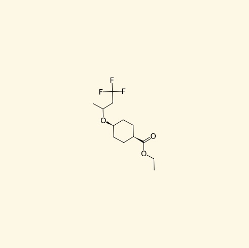 CCOC(=O)[C@H]1CC[C@@H](OC(C)CC(F)(F)F)CC1